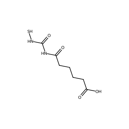 O=C(O)CCCCC(=O)NC(=O)NS